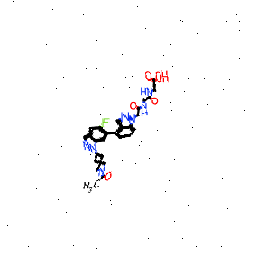 CC(=O)N1CC2(CC(n3ncc4cc(F)c(-c5cccc6c5cnn6CC(=O)NCC(=O)NCC(=O)O)cc43)C2)C1